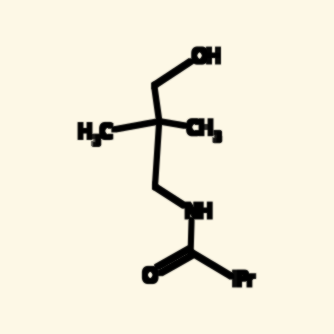 CC(C)C(=O)NCC(C)(C)CO